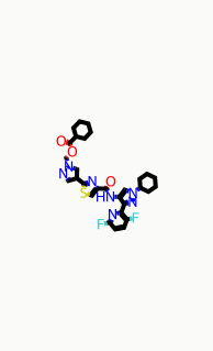 O=C(Nc1cn(C2CCCCC2)nc1-c1nc(F)ccc1F)c1csc(C2C=NN(COC(=O)C3CCCCC3)C2)n1